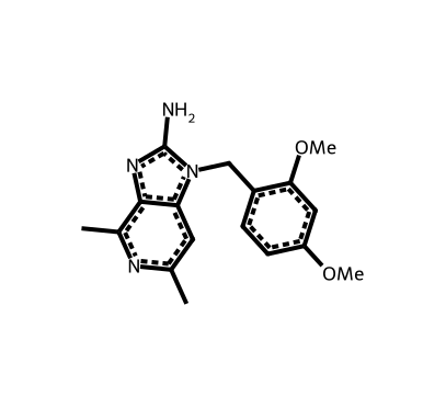 COc1ccc(Cn2c(N)nc3c(C)nc(C)cc32)c(OC)c1